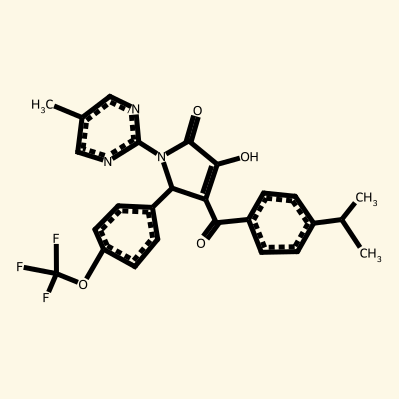 Cc1cnc(N2C(=O)C(O)=C(C(=O)c3ccc(C(C)C)cc3)C2c2ccc(OC(F)(F)F)cc2)nc1